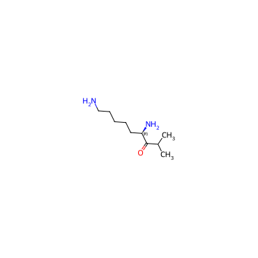 CC(C)C(=O)[C@H](N)CCCCCN